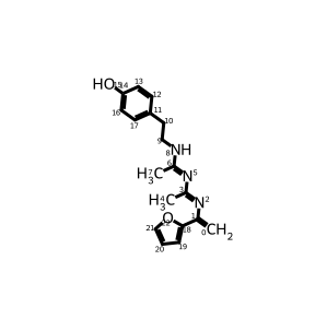 C=C(/N=C(C)/N=C(\C)NCCc1ccc(O)cc1)c1ccco1